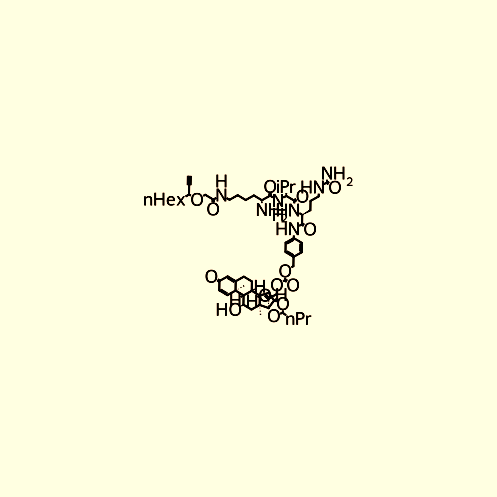 C#CC(CCCCCC)OCC(=O)NCCCC[C@@H](N)C(=O)N[C@H](C(=O)N[C@@H](CCCNC(N)=O)C(=O)Nc1ccc(COC(=O)OCC(=O)[C@@]23OC(CCC)O[C@@H]2C[C@H]2[C@@H]4CCC5=CC(=O)C=C[C@]5(C)[C@H]4[C@@H](O)C[C@@]23C)cc1)C(C)C